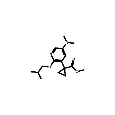 COC(=O)C1(c2cc(N(C)C)cnc2OCC(C)C)CC1